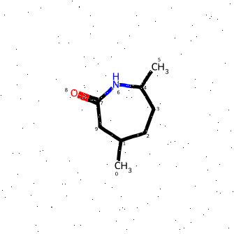 CC1CCC(C)NC(=O)C1